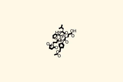 CC(=O)OCc1ccc(NC(=O)[C@H](CCC(=O)O)NC(=O)[C@H](CC(C)C)NC(=O)[C@@H]2CCCN2C(=O)CCN2C(=O)C=CC2=O)cc1